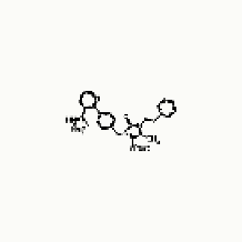 CCCCCc1c(C)n(CCc2ccccc2)c(=O)n1Cc1ccc(-c2ncccc2-c2nnn[nH]2)cc1